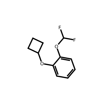 FC(F)Oc1ccccc1OC1CCC1